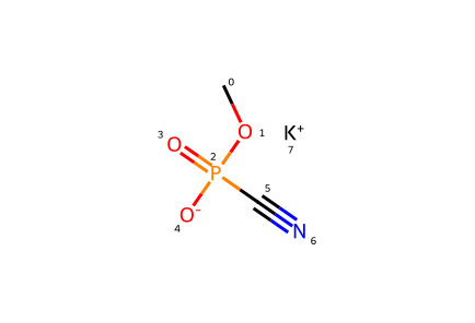 COP(=O)([O-])C#N.[K+]